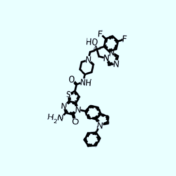 Nc1nc2sc(C(=O)NC3CCN(C[C@@](O)(Cn4cncn4)c4ccc(F)cc4F)CC3)cc2n(-c2ccc3ccn(-c4ccccc4)c3c2)c1=O